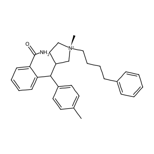 Cc1ccc(C(c2ccccc2C(N)=O)C2CC[N@+](C)(CCCCc3ccccc3)C2)cc1